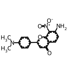 CN(C)c1ccc(-c2cc(=O)c3ccc(N)c([N+](=O)[O-])c3o2)cc1